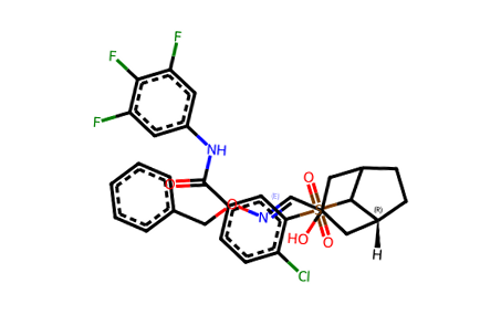 O=C(Nc1cc(F)c(F)c(F)c1)c1ccc(Cl)c(S(=O)(=O)C2C3CC[C@@H]2CC(O)(/C=N/OCc2ccccc2)C3)c1